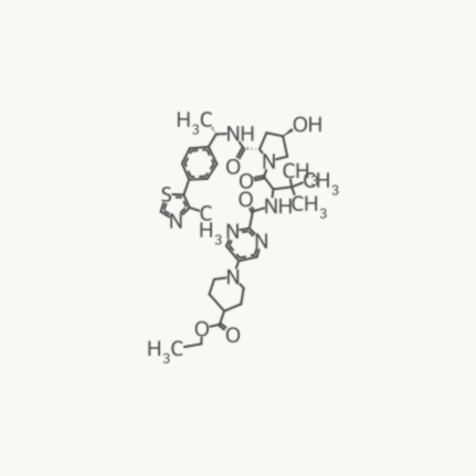 CCOC(=O)C1CCN(c2cnc(C(=O)NC(C(=O)N3C[C@H](O)C[C@H]3C(=O)N[C@@H](C)c3ccc(-c4scnc4C)cc3)C(C)(C)C)nc2)CC1